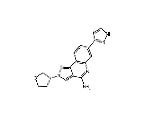 Nc1nc2cc(-c3cc[nH]n3)ccc2c2nn(C3CCOC3)cc12